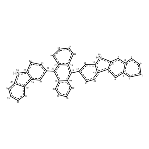 c1ccc2cc3c(cc2c1)[nH]c1cc(-c2c4ccccc4c(-c4ccc5[nH]c6ccccc6c5c4)c4ccccc24)ccc13